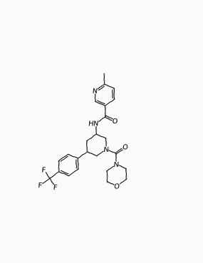 Cc1ccc(C(=O)NC2CC(c3ccc(C(F)(F)F)cc3)CN(C(=O)N3CCOCC3)C2)cn1